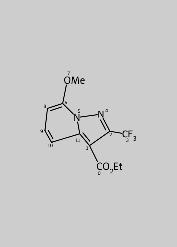 CCOC(=O)c1c(C(F)(F)F)nn2c(OC)cccc12